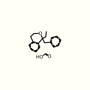 CCC1(Cc2ccccc2)OCCc2ccccc21.O=CO